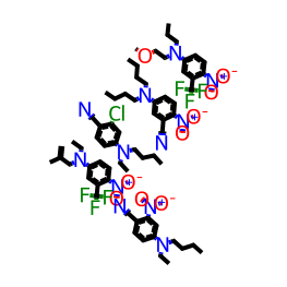 C=C(C)CN(CC)c1ccc([N+](=O)[O-])c(C(F)(F)F)c1.CCCCN(CC)c1ccc(C#N)c(Cl)c1.CCCCN(CC)c1ccc(C#N)c([N+](=O)[O-])c1.CCCCN(CCCC)c1ccc([N+](=O)[O-])c(C#N)c1.CCCN(CCOC)c1ccc([N+](=O)[O-])c(C(F)(F)F)c1